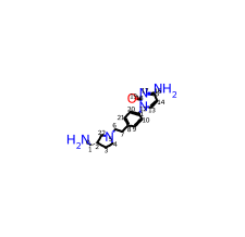 NC[C@H]1CCN(CCc2ccc(-n3ccc(N)nc3=O)cc2)C1